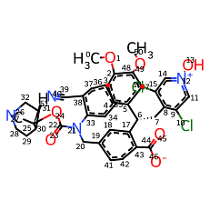 COc1ccc([C@H](Cc2c(Cl)c[n+](O)cc2Cl)c2cc(CN(C(=O)O[C@H]3CN4CCC3CC4)c3ccccc3C#N)ccc2C(=O)[O-])cc1OC